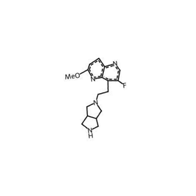 COc1ccc2ncc(F)c(CCN3CC4CNCC4C3)c2n1